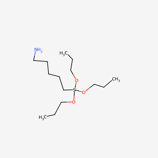 CCCO[Si](CCCCCN)(OCCC)OCCC